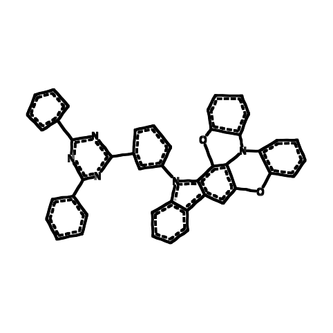 c1ccc(-c2nc(-c3ccccc3)nc(-c3cccc(-n4c5ccccc5c5cc6c7c(c54)Oc4ccccc4N7c4ccccc4O6)c3)n2)cc1